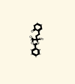 CC(C)C1(CCC2=CC=CCC2=O)N=C(c2ccccc2)OC1=O